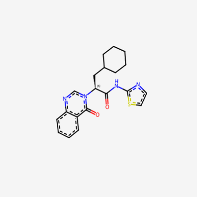 O=C(Nc1nccs1)[C@H](CC1CCCCC1)n1cnc2ccccc2c1=O